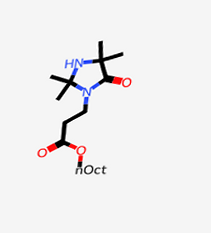 CCCCCCCCOC(=O)CCN1C(=O)C(C)(C)NC1(C)C